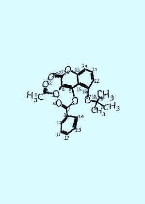 CC(=O)Oc1c(OC(=O)c2ccccc2)c2c(OC(C)(C)C)cccc2oc1=O